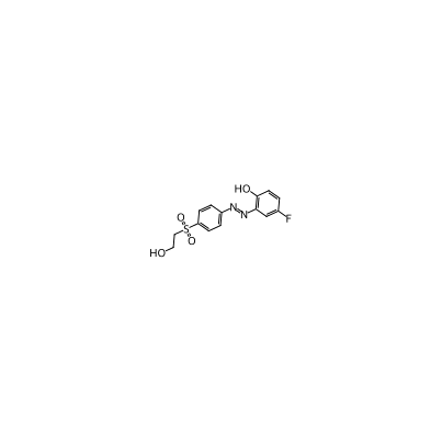 O=S(=O)(CCO)c1ccc(N=Nc2cc(F)ccc2O)cc1